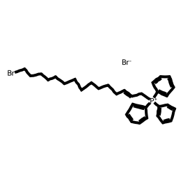 BrCCCCCCCCCCCCC=CC[P+](c1ccccc1)(c1ccccc1)c1ccccc1.[Br-]